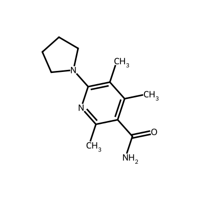 Cc1nc(N2CCCC2)c(C)c(C)c1C(N)=O